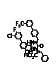 O=C(N[C@@H](Cc1ccc(-c2cccc(C(F)(F)F)c2)cc1)C(=O)N[C@@H](Cc1ccccc1)C(=O)O)c1cc(-c2ccc(F)c(Cl)c2)ccc1O